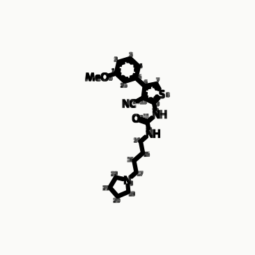 COc1cccc(-c2csc(NC(=O)NCCCCN3CCCC3)c2C#N)c1